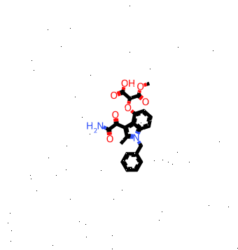 COC(=O)C(Oc1cccc2c1c(C(=O)C(N)=O)c(C)n2Cc1ccccc1)C(=O)O